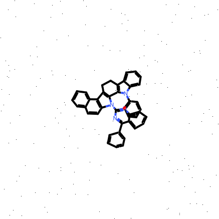 c1ccc(-c2nc(-n3c4c(c5c6ccccc6ccc53)CCc3c-4n(-c4ccccc4)c4ccccc34)nc3ccccc23)cc1